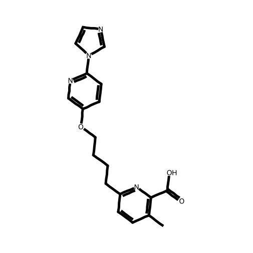 Cc1ccc(CCCCOc2ccc(-n3ccnc3)nc2)nc1C(=O)O